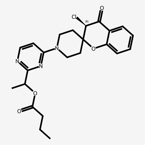 CCCC(=O)OC(C)c1nccc(N2CCC3(CC2)Oc2ccccc2C(=O)[C@@H]3Cl)n1